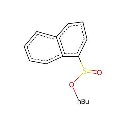 CCCCOS(=O)c1cccc2ccccc12